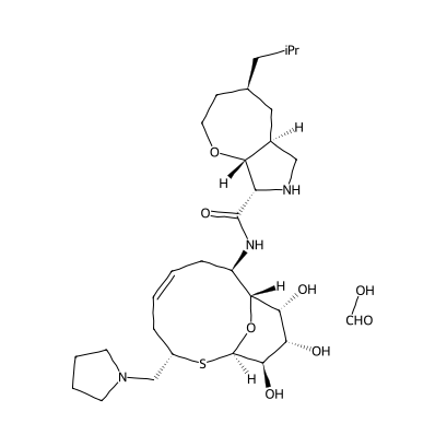 CC(C)C[C@@H]1CCO[C@@H]2[C@H](CN[C@@H]2C(=O)N[C@@H]2C/C=C\C[C@@H](CN3CCCC3)S[C@H]3O[C@H]2[C@H](O)[C@H](O)[C@H]3O)C1.O=CO